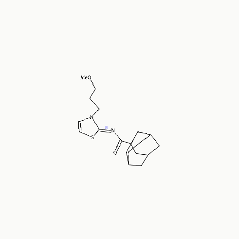 COCCCn1ccs/c1=N\C(=O)C12CC3CC(CC(C3)C1)C2